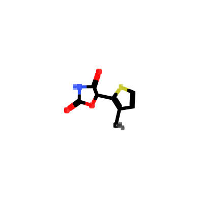 Cc1ccsc1C1OC(=O)NC1=O